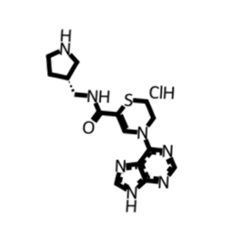 Cl.O=C(NC[C@@H]1CCNC1)C1=CN(c2ncnc3[nH]cnc23)CCS1